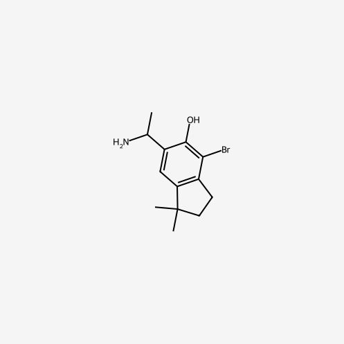 CC(N)c1cc2c(c(Br)c1O)CCC2(C)C